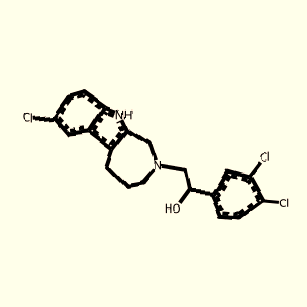 OC(CN1CCCc2c([nH]c3ccc(Cl)cc23)C1)c1ccc(Cl)c(Cl)c1